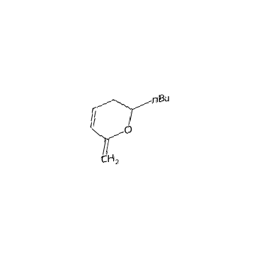 C=C1C=CCC(CCCC)O1